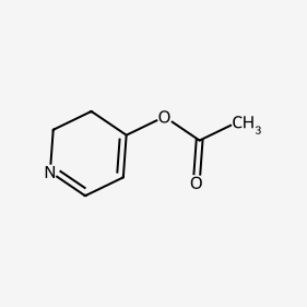 CC(=O)OC1=CC=NCC1